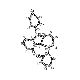 CC(C)(C)c1cccc2c1c1c(-c3ccccc3)cccc1n2-c1ccccc1